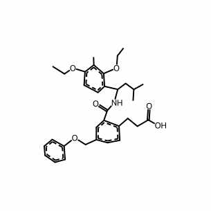 CCOc1ccc(C(CC(C)C)NC(=O)c2cc(COc3ccccc3)ccc2CCC(=O)O)c(OCC)c1C